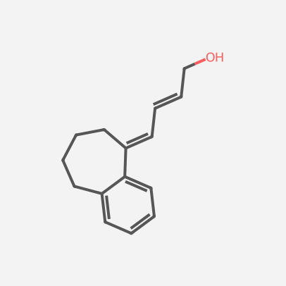 OC/C=C/C=C1\CCCCc2ccccc21